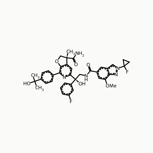 COc1cc(C(=O)NC[C@](O)(c2cccc(F)c2)c2cc3c(c(-c4ccc(C(C)(C)O)cc4)n2)OC[C@]3(C)C(N)=O)cc2cn(C3(F)CC3)nc12